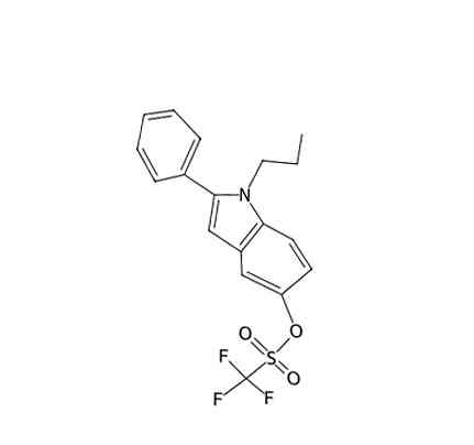 CCCn1c(-c2ccccc2)cc2cc(OS(=O)(=O)C(F)(F)F)ccc21